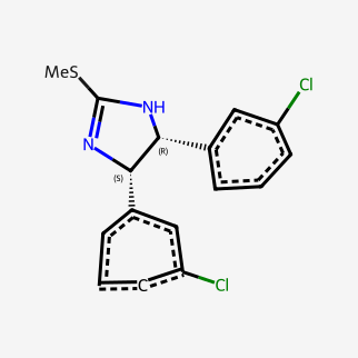 CSC1=N[C@@H](c2cccc(Cl)c2)[C@@H](c2cccc(Cl)c2)N1